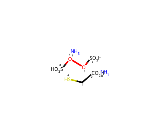 N.N.O=C(O)CS.O=S(=O)(O)OOS(=O)(=O)O